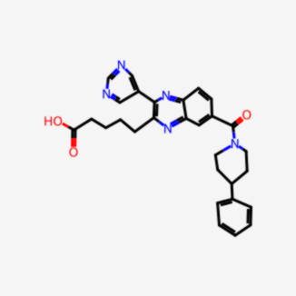 O=C(O)CCCCc1nc2cc(C(=O)N3CCC(c4ccccc4)CC3)ccc2nc1-c1cncnc1